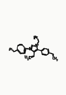 C=Cc1ccc(-c2c(C=C)n(-c3ccc(CC(C)C)cc3)c[n+]2CC(C)C)cc1